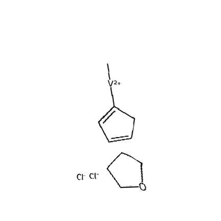 C1CCOC1.[CH3][V+2][C]1=CC=CC1.[Cl-].[Cl-]